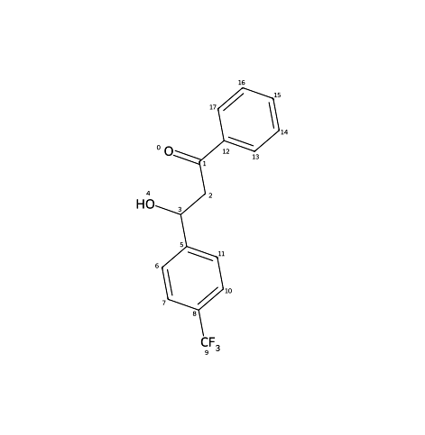 O=C(CC(O)c1ccc(C(F)(F)F)cc1)c1ccccc1